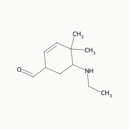 CCNC1CC(C=O)C=CC1(C)C